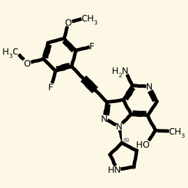 COc1cc(OC)c(F)c(C#Cc2nn([C@H]3CCNC3)c3c(C(C)O)cnc(N)c23)c1F